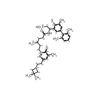 Cc1cc(-c2c(C)cccc2C)cc(C(CC(=O)O)NC(=O)CCC(C)CCn2nc(CCN3CC(C)(C)C3)cc(C)c2=O)c1F